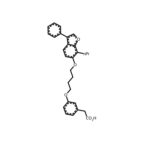 CCCc1c(OCCCCOc2cccc(CC(=O)O)c2)ccc2c(-c3ccccc3)coc12